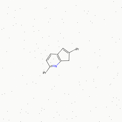 CC(C)C1=Cc2ccc(C(C)C)nc2C1